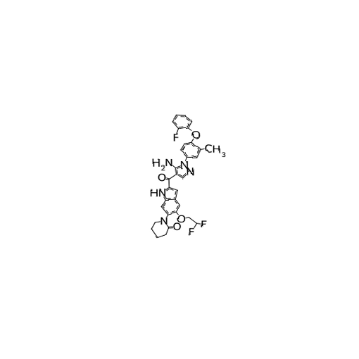 Cc1cc(-n2ncc(C(=O)c3cc4cc(OCC(F)F)c(N5CCCCC5=O)cc4[nH]3)c2N)ccc1Oc1ccccc1F